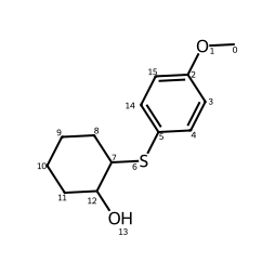 COc1ccc(SC2CCCCC2O)cc1